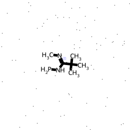 C/N=C(\NP)C(C)(C)C